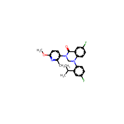 COc1ccc(N2CN(c3ccc(F)cc3C(C)C)c3ccc(F)cc3C2=O)c(C)n1